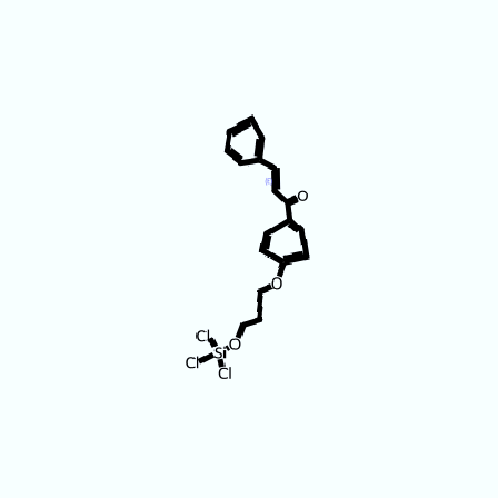 O=C(/C=C/c1ccccc1)c1ccc(OCCCO[Si](Cl)(Cl)Cl)cc1